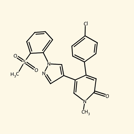 Cn1cc(-c2cnn(-c3ccccc3S(C)(=O)=O)c2)c(-c2ccc(Cl)cc2)cc1=O